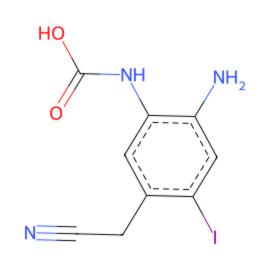 N#CCc1cc(NC(=O)O)c(N)cc1I